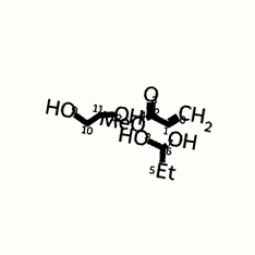 C=CC(=O)OC.CCC(O)O.OCCO